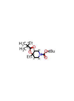 CCC1(OC(=O)C(C)(C)CC)CCN(C(=O)OC(C)(C)C)CC1